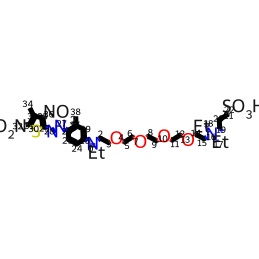 CCN(CCOCCOCCOCCOCC[N+](CC)(CC)CCCS(=O)(=O)O)c1ccc(/N=N/c2sc([N+](=O)[O-])c(C)c2[N+](=O)[O-])c(C)c1